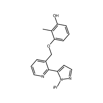 Cc1c(O)cccc1OCc1cccnc1-c1ccnn1C(C)C